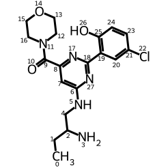 CCC(N)CNc1cc(C(=O)N2CCOCC2)nc(-c2cc(Cl)ccc2O)n1